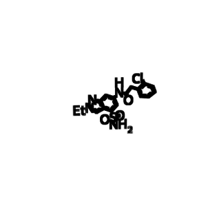 CCn1cc2c(S(N)(=O)=O)cc(NC(=O)Cc3ccccc3Cl)cc2n1